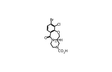 O=C(O)N1CCN2C(=O)c3ccc(Br)c(Cl)c3OC[C@@H]2C1